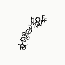 Cc1noc(C)c1-c1ccc(S(=O)(=O)N2CCN(CC(C)Nc3ncnc4c(C(F)(F)F)cccc34)CC2)s1